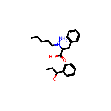 CCC(O)c1ccccc1.CCCCCN(N)C(Cc1ccccc1)C(=O)O